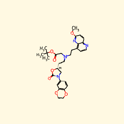 COc1ccc2nccc(CCN(CC[C@@H]3CN(c4ccc5c(c4)OCCO5)C(=O)O3)CC(=O)OC(C)(C)C)c2n1